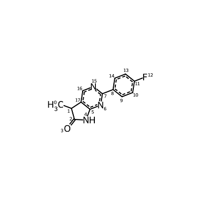 CC1C(=O)Nc2nc(-c3ccc(F)cc3)ncc21